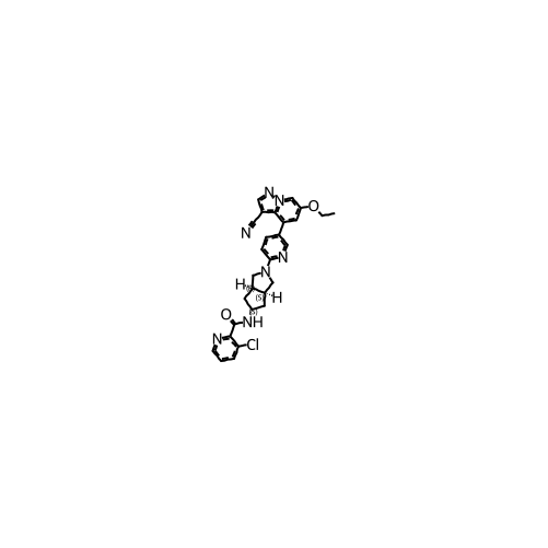 CCOc1cc(-c2ccc(N3C[C@H]4C[C@H](NC(=O)c5ncccc5Cl)C[C@H]4C3)nc2)c2c(C#N)cnn2c1